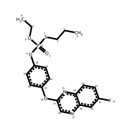 CCCSP(=O)(OCC)Oc1ccc(Oc2cnc3cc(F)ccc3n2)cc1